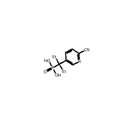 CCC(CC)(c1ccc(C#N)nc1)P(=O)(O)O